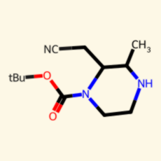 CC1NCCN(C(=O)OC(C)(C)C)C1CC#N